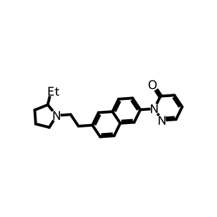 CCC1CCCN1CCc1ccc2cc(-n3ncccc3=O)ccc2c1